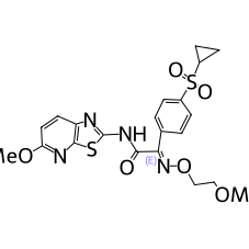 COCCO/N=C(/C(=O)Nc1nc2ccc(OC)nc2s1)c1ccc(S(=O)(=O)C2CC2)cc1